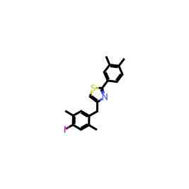 Cc1ccc(-c2nc(Cc3cc(C)c(I)cc3C)cs2)cc1C